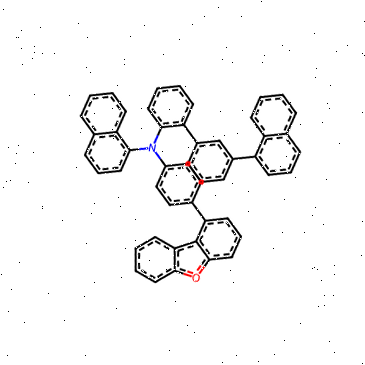 c1cc(-c2ccccc2N(c2ccc(-c3cccc4oc5ccccc5c34)cc2)c2cccc3ccccc23)cc(-c2cccc3ccccc23)c1